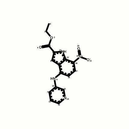 CCOC(=O)c1cc2c(Nc3cccnc3)ccc([N+](=O)[O-])c2[nH]1